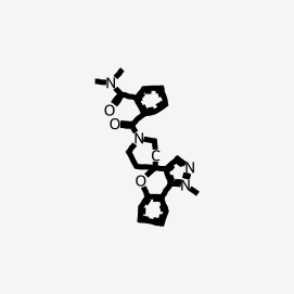 CN(C)C(=O)c1ccccc1C(=O)N1CCC2(CC1)Oc1ccccc1-c1c2cnn1C